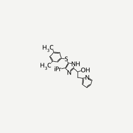 Cc1cc(C)cc(Sc2[nH]c(C(O)Cc3ccccn3)nc2C(C)C)c1